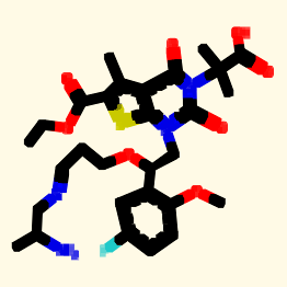 CCOC(=O)c1sc2c(c1C)c(=O)n(C(C)(C)C(=O)O)c(=O)n2C[C@H](OCC/C=N/CC(C)N)c1cc(F)ccc1OC